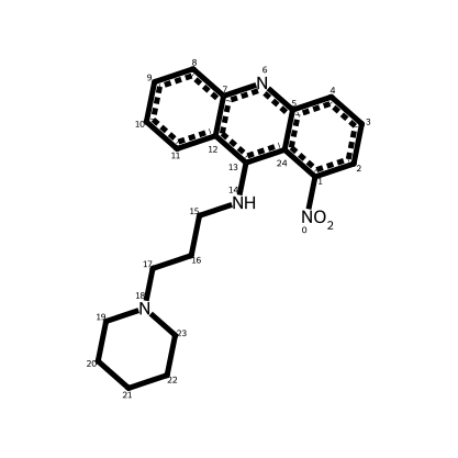 O=[N+]([O-])c1cccc2nc3ccccc3c(NCCCN3CCCCC3)c12